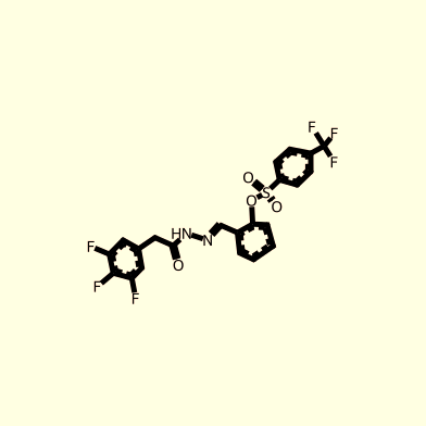 O=C(Cc1cc(F)c(F)c(F)c1)N/N=C/c1ccccc1OS(=O)(=O)c1ccc(C(F)(F)F)cc1